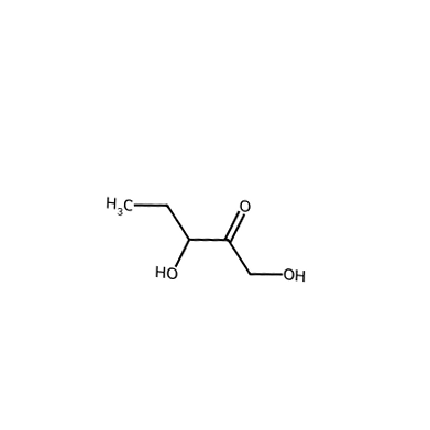 CCC(O)C(=O)CO